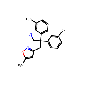 Cc1cccc(C(CN)(Cc2cc(C)on2)c2cccc(C)c2)c1